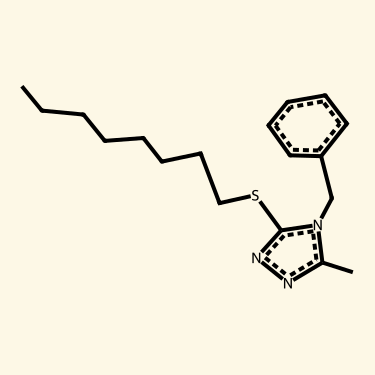 CCCCCCCCSc1nnc(C)n1Cc1ccccc1